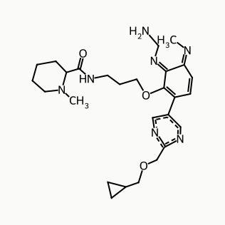 C/N=C1/C=CC(c2cnc(COCC3CC3)nc2)=C(OCCCNC(=O)C2CCCCN2C)/C1=N/CN